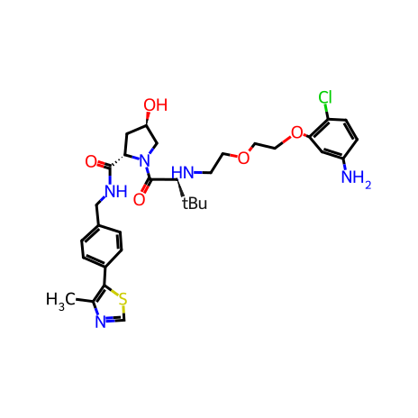 Cc1ncsc1-c1ccc(CNC(=O)[C@@H]2C[C@@H](O)CN2C(=O)[C@@H](NCCOCCOc2cc(N)ccc2Cl)C(C)(C)C)cc1